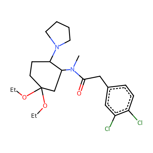 CCOC1(OCC)CCC(N2CCCC2)C(N(C)C(=O)Cc2ccc(Cl)c(Cl)c2)C1